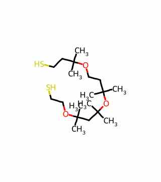 CC(C)(CCS)OCCC(C)(C)OC(C)(C)CC(C)(C)OCCS